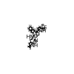 N#C[C@H](C[C@@H]1CC2(CC2)NC1=O)NC(=O)[C@@H]1CC2(CCCC2)CN1C(=O)c1ccc(C(F)(F)F)[nH]1